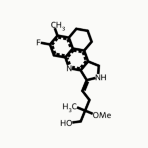 COC(C)(CO)C/C=C1\NCc2c1nc1cc(F)c(C)c3c1c2CCC3